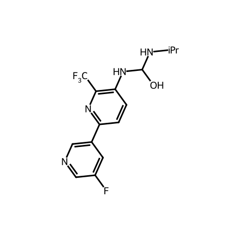 CC(C)NC(O)Nc1ccc(-c2cncc(F)c2)nc1C(F)(F)F